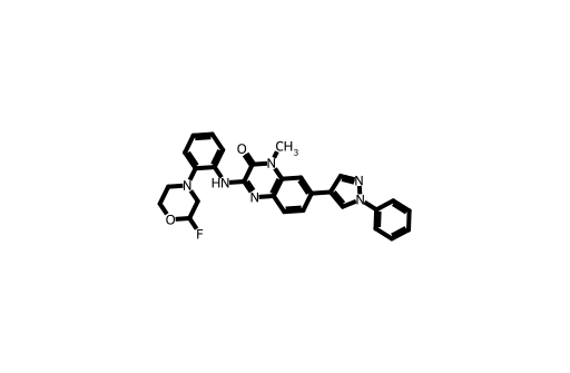 Cn1c(=O)c(Nc2ccccc2N2CCOC(F)C2)nc2ccc(-c3cnn(-c4ccccc4)c3)cc21